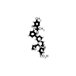 Cc1ccc(C2(C)Oc3cccc(C4CCN(Cc5nc6sc(C(=O)O)cc6n5CC5CCO5)CC4)c3O2)c(F)c1